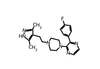 Cc1n[nH]c(C)c1CCN1CCN(c2nccnc2-c2ccc(F)cc2)CC1